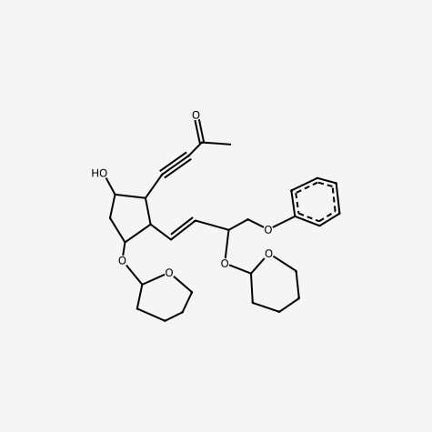 CC(=O)C#CC1C(O)CC(OC2CCCCO2)C1C=CC(COc1ccccc1)OC1CCCCO1